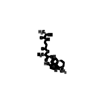 C[C@H](O)C(=O)NCCC(=O)O[C@@H](C)C(=O)OC1=CC[C@@]2(O)[C@H]3Cc4ccc(O)c5c4[C@@]2(CCCN3C)[C@H]1O5